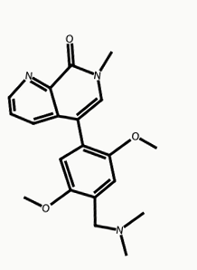 COc1cc(-c2cn(C)c(=O)c3ncccc23)c(OC)cc1CN(C)C